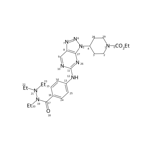 CCOC(=O)N1CCC(n2nnc3cnc(Nc4ccc(C(=O)N(CC)N(CC)CC)cc4)nc32)CC1